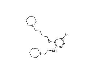 Brc1ccc(NCCN2CCCCC2)c(OCCCCN2CCCCC2)c1